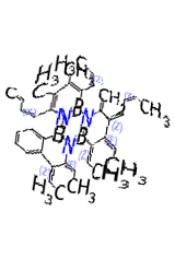 C=C/C=C\C1=C(C)C(C)=C(/C=C\C)B2N3B(C(=C/C)/C(=C\C)C(=C/C=C\C)/C3=C)N3B(c4ccccc4C(=C/C)/C3=C\C)N21